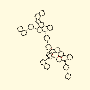 c1ccc(-c2ccc(N(c3ccc(-c4cc(-c5ccc(-c6ccc(N(c7ccc(-c8cccc(-c9cccc%10ccccc9%10)c8)cc7)c7ccccc7-c7ccc8oc9ccc%10ccccc%10c9c8c7)cc6)cc5)cc(-c5cccc6ccccc56)c4)cc3)c3ccccc3-c3ccc4c(ccc5oc6ccccc6c54)c3)cc2)cc1